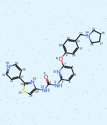 O=C(Nc1cccc(Oc2ccc(CN3CCCC3)cc2)n1)Nc1csc(-c2ccncc2)n1